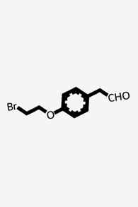 O=CCc1ccc(OCCBr)cc1